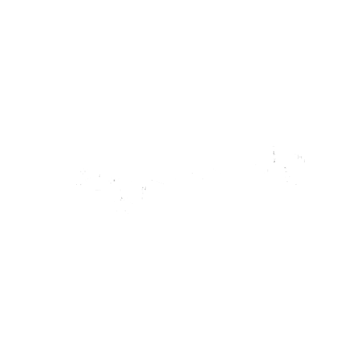 C=C(C)C(=O)OCCCCCCCCCCCN1CC[N+](C)(CC(O)CS(=O)(=O)[O-])CC1